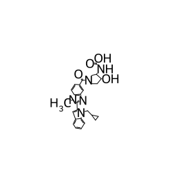 Cn1c(-c2cc3ccccc3n2CC2CC2)nc2cc(C(=O)N3CCC(O)C(NC(=O)O)C3)ccc21